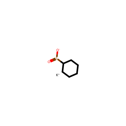 O=S([O-])C1CCCCC1.[K+]